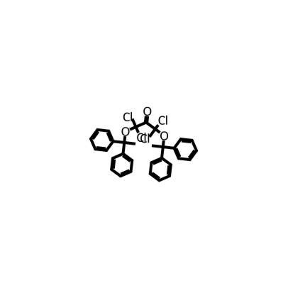 CC(OC(Cl)(Cl)C(=O)C(Cl)(Cl)OC(C)(c1ccccc1)c1ccccc1)(c1ccccc1)c1ccccc1